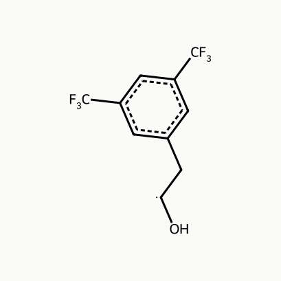 O[CH]Cc1cc(C(F)(F)F)cc(C(F)(F)F)c1